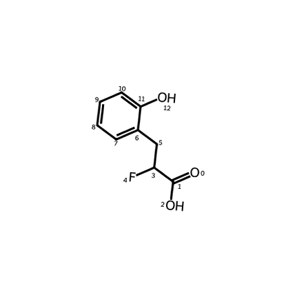 O=C(O)C(F)Cc1ccccc1O